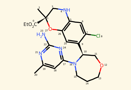 CCOC(=O)[C@@]1(C)CNc2cc(Cl)c([C@H]3COCCCN3c3cc(C)nc(N)n3)cc2O1